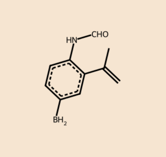 Bc1ccc(NC=O)c(C(=C)C)c1